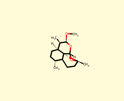 CO[C@H]1O[C@@H]2O[C@@]3(C)CCC4[C@H](C)CC[C@@H]([C@H]1C)[C@]42OO3